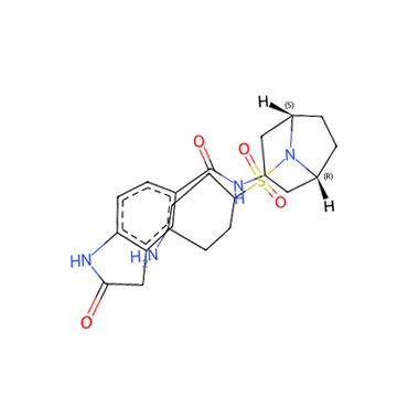 NC1CCC(S(=O)(=O)N2[C@@H]3CC[C@H]2CC(NC(=O)c2ccc4c(c2)CC(=O)N4)C3)CC1